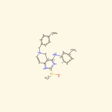 COc1ccc(CN2C=Cc3nc([S+](C)[O-])nc(Nc4cccc(C)c4)c3C2)cc1